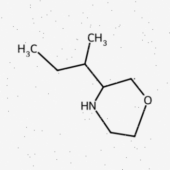 CCC(C)C1[CH]OCCN1